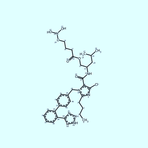 CCCCc1nc(Cl)c(C(=O)NC(COC(=O)CCCON(O)O)CC(C)C)n1Cc1ccc(-c2ccccc2-c2nn[nH]n2)cc1